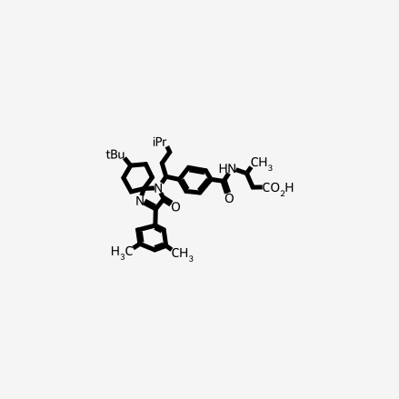 Cc1cc(C)cc(C2=NC3(CCC(C(C)(C)C)CC3)N(C(CCC(C)C)c3ccc(C(=O)NC(C)CC(=O)O)cc3)C2=O)c1